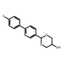 CCCC1COC(c2ccc(-c3ccc(F)cc3)nc2)OC1